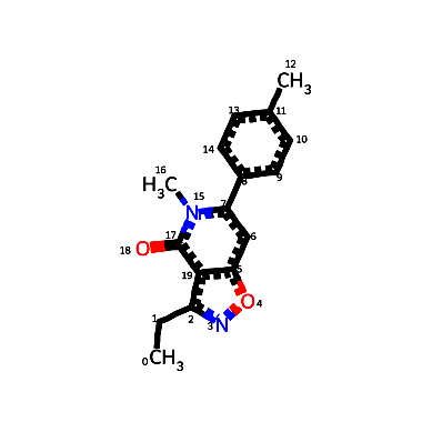 CCc1noc2cc(-c3ccc(C)cc3)n(C)c(=O)c12